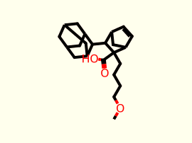 COCCCCC1(C(=O)O)C2C=CC(C2)C1C1C2CC3CC(C2)CC1C3